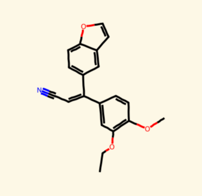 CCOc1cc(/C(=C/C#N)c2ccc3occc3c2)ccc1OC